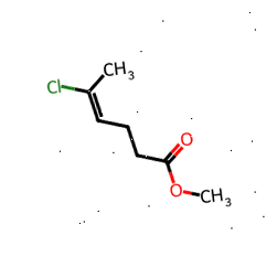 COC(=O)CC/C=C(\C)Cl